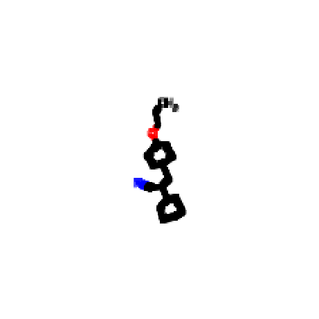 C=CCOc1ccc(C=C(C#N)c2ccccc2)cc1